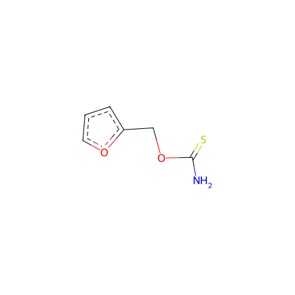 NC(=S)OCc1ccco1